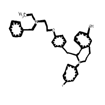 CCN(CCOc1ccc(CC2c3ccc(O)cc3CCN2c2ccc(F)cc2)cc1)Cc1ccccc1